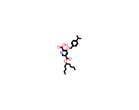 CCCCC(CCCC)OC(=O)c1cnc(C(=O)O)c(OCc2ccc(C(C)C)cc2)c1